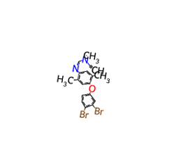 C#CN(C)/C=N\c1cc(C)c(Oc2ccc(Br)c(Br)c2)cc1C